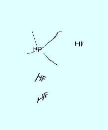 C[PH](C)(C)C.F.F.F